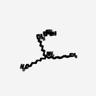 CCCCCCCCC(N)(CCCCCCCC)CCCCCCCC.[O-][Cl+]O